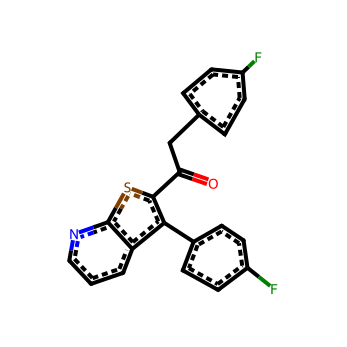 O=C(Cc1ccc(F)cc1)c1sc2ncccc2c1-c1ccc(F)cc1